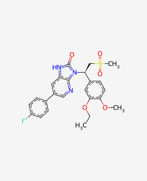 CCOc1cc([C@H](CS(C)(=O)=O)n2c(=O)[nH]c3cc(-c4ccc(F)cc4)cnc32)ccc1OC